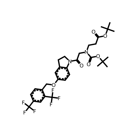 CC(C)(C)OC(=O)CCN(CC(=O)N1CCc2cc(OCc3ccc(C(F)(F)F)cc3C(F)(F)F)ccc21)C(=O)OC(C)(C)C